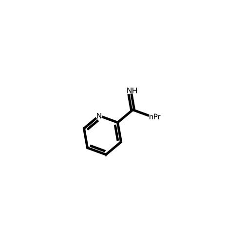 CCCC(=N)c1c[c]ccn1